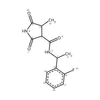 CC(NC(=O)C1C(=O)NC(=O)C1C)c1ccccc1F